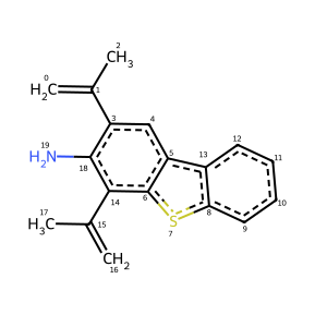 C=C(C)c1cc2c(sc3ccccc32)c(C(=C)C)c1N